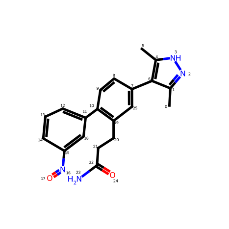 Cc1n[nH]c(C)c1-c1ccc(-c2cccc(N=O)c2)c(CCC(N)=O)c1